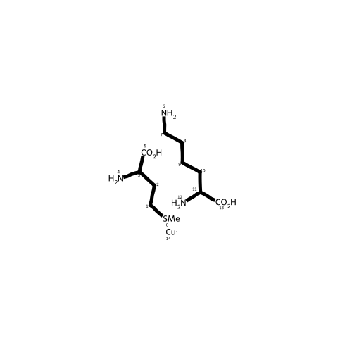 CSCCC(N)C(=O)O.NCCCCC(N)C(=O)O.[Cu]